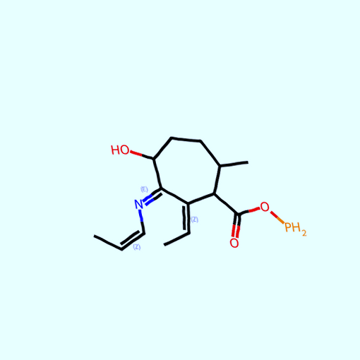 C\C=C/N=C1\C(=C/C)C(C(=O)OP)C(C)CCC1O